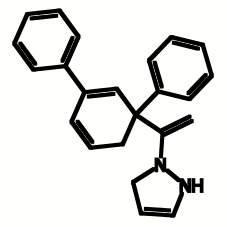 C=C(N1CC=CN1)C1(c2ccccc2)C=C(c2ccccc2)C=CC1